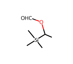 CC(OC=O)[Si](C)(C)C